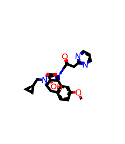 COc1ccc2c(c1)C13CCN(CC4CC4)C(C2)C1(O)CCCN(C(=O)Cc1ncccn1)C3